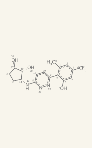 Cc1cc(C(F)(F)F)cc(O)c1-c1ccc(N[C@@H]2CC[C@@H](O)[C@@H]2O)nn1